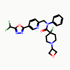 O=C(N(Cc1ccc(-c2nnc(C(F)F)o2)cn1)c1ccccc1)C1(F)CCN(C2COC2)CC1